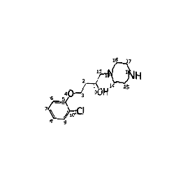 OC(CCOc1ccccc1Cl)CN1CCNCC1